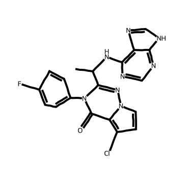 CC(Nc1ncnc2[nH]cnc12)c1nn2ccc(Cl)c2c(=O)n1-c1ccc(F)cc1